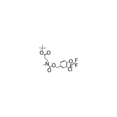 CN(CCC(=O)OC(C)(C)C)C(=O)OCc1ccc(OC(F)(F)F)c(Cl)c1